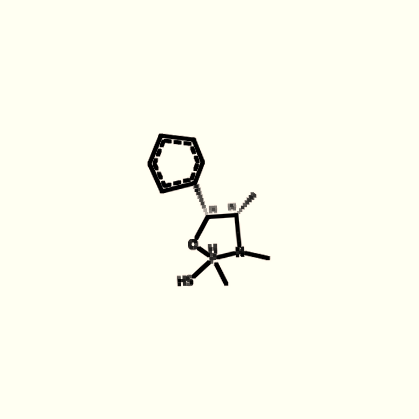 C[C@H]1[C@@H](c2ccccc2)O[PH](C)(S)N1C